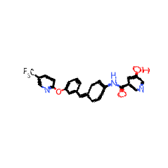 O=C(NC1CCC(=Cc2cccc(Oc3ccc(C(F)(F)F)cn3)c2)CC1)c1cncc(O)c1